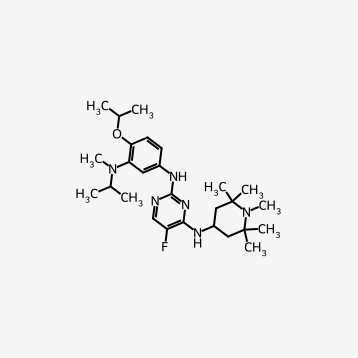 CC(C)Oc1ccc(Nc2ncc(F)c(NC3CC(C)(C)N(C)C(C)(C)C3)n2)cc1N(C)C(C)C